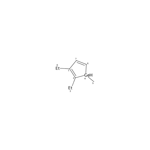 CCC1=[C](CC)[GeH]([CH3])[CH]=C1